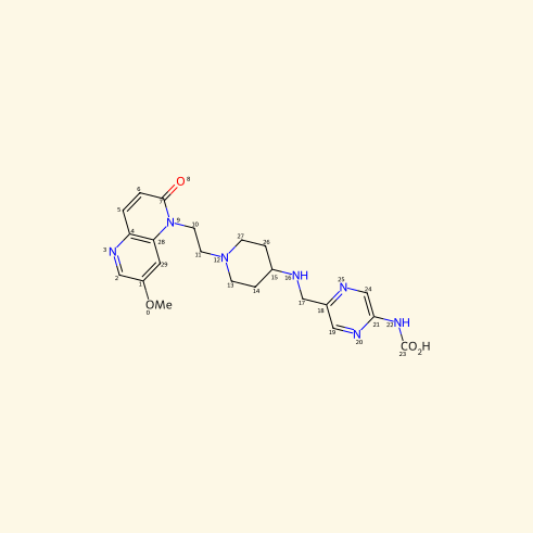 COc1cnc2ccc(=O)n(CCN3CCC(NCc4cnc(NC(=O)O)cn4)CC3)c2c1